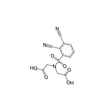 N#Cc1cccc(S(=O)(=O)N(CC(=O)O)CC(=O)O)c1C#N